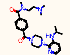 CC(C)Nc1cccnc1N1CCN(C(=O)c2ccc(C(=O)N(C)CCN(C)C)cc2)CC1